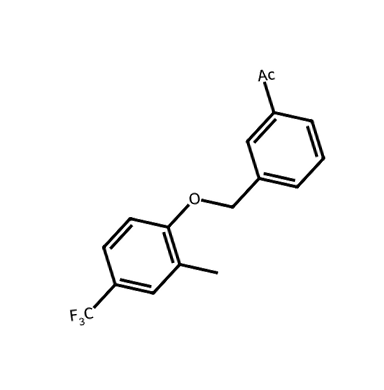 CC(=O)c1cccc(COc2ccc(C(F)(F)F)cc2C)c1